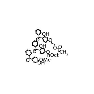 C=CC(=O)OCCOc1ccc(C(=O)c2ccccc2)c(O)c1.CCCCCCCCOc1ccc(C(=O)c2ccccc2)c(O)c1.COC1(O)C=CC(C(=O)c2ccccc2)=CC1